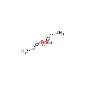 CCCCCC1CCC(c2ccc(COOC(CC(OO)c3ccc(C4CCC(CCCCC)CC4)cc3)c3ccccc3)cc2)CC1